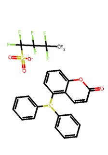 O=S(=O)([O-])C(F)(F)C(F)(F)C(F)(F)C(F)(F)F.O=c1ccc2c([S+](c3ccccc3)c3ccccc3)cccc2o1